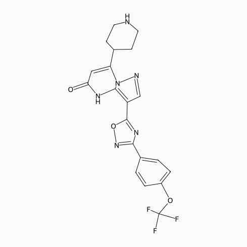 O=c1cc(C2CCNCC2)n2ncc(-c3nc(-c4ccc(OC(F)(F)F)cc4)no3)c2[nH]1